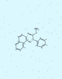 NC[C@H](F)[C@@H](Oc1cccc2ccccc12)c1ccccc1